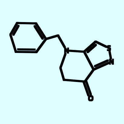 O=C1CCN(Cc2ccccc2)c2csnc21